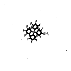 Fc1c(F)c(F)c([B-](c2c(F)c(F)c(F)c(F)c2F)(c2c(F)c(F)c(F)c(F)c2F)c2c(F)c(F)c([SiH3])c(F)c2F)c(F)c1F